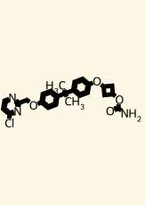 CC(C)(c1ccc(OCc2nccc(Cl)n2)cc1)c1ccc(OC2CC(OC(N)=O)C2)cc1